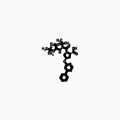 CC(C)(C)OC(=O)N[C@H](C(=O)N1C[C@H](Oc2cc(-c3ccccc3)ncn2)C[C@H]1C(=O)O)C(C)(C)C